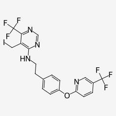 FC(F)(F)c1ccc(Oc2ccc(CCNc3ncnc(C(F)(F)F)c3CI)cc2)nc1